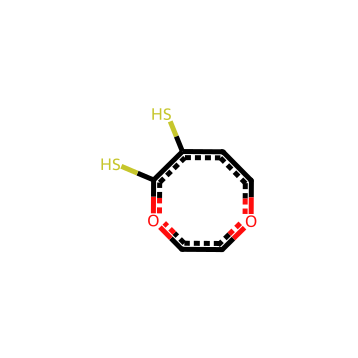 Sc1ccoccoc1S